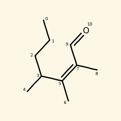 CCCC(C)C(C)=C(C)C=O